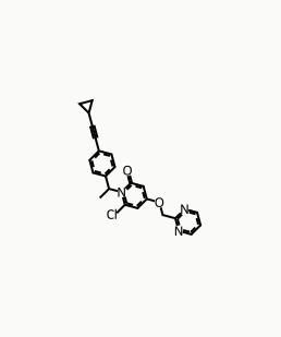 CC(c1ccc(C#CC2CC2)cc1)n1c(Cl)cc(OCc2ncccn2)cc1=O